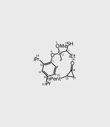 CCC(S)[Si](C)(OC)Oc1ccc(C(C)C)cc1C(C)C.CCCCCC1CC1=O